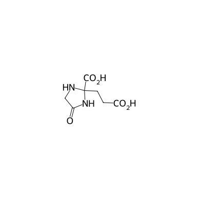 O=C(O)CCC1(C(=O)O)NCC(=O)N1